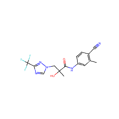 Cc1cc(NC(=O)C(C)(O)Cn2cnc(C(F)(F)F)n2)ccc1C#N